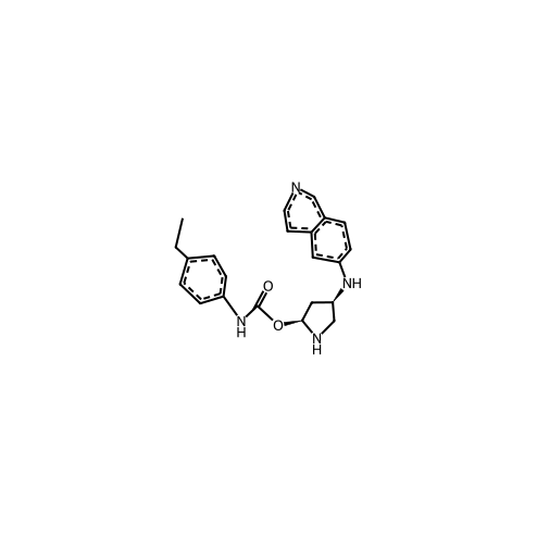 CCc1ccc(NC(=O)O[C@H]2C[C@@H](Nc3ccc4cnccc4c3)CN2)cc1